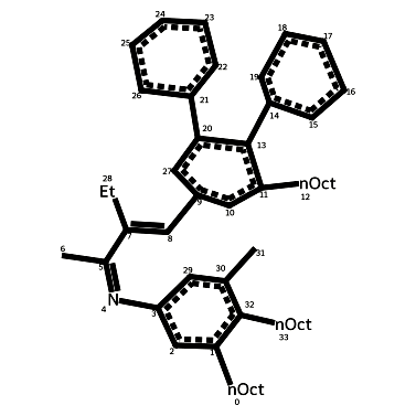 CCCCCCCCc1cc(N=C(C)C(=Cc2cc(CCCCCCCC)c(-c3ccccc3)c(-c3ccccc3)c2)CC)cc(C)c1CCCCCCCC